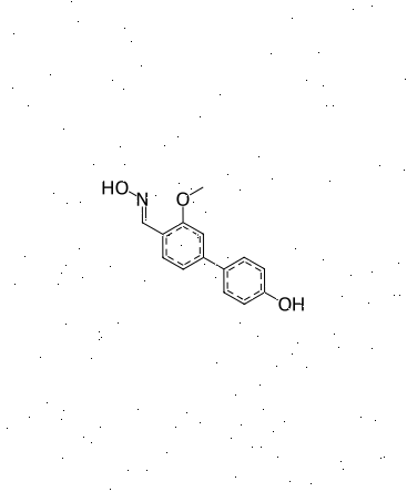 COc1cc(-c2ccc(O)cc2)ccc1/C=N/O